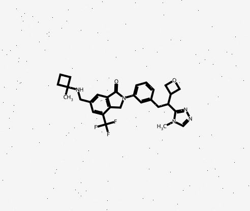 Cn1cnnc1C(Cc1cccc(N2Cc3c(cc(CNC4(C)CCC4)cc3C(F)(F)F)C2=O)c1)C1COC1